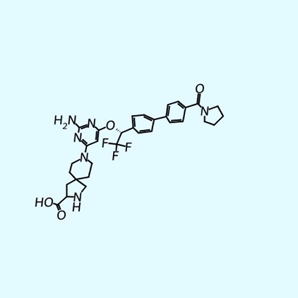 Nc1nc(O[C@H](c2ccc(-c3ccc(C(=O)N4CCCC4)cc3)cc2)C(F)(F)F)cc(N2CCC3(CC2)CNC(C(=O)O)C3)n1